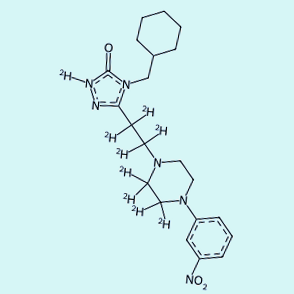 [2H]n1nc(C([2H])([2H])C([2H])([2H])N2CCN(c3cccc([N+](=O)[O-])c3)C([2H])([2H])C2([2H])[2H])n(CC2CCCCC2)c1=O